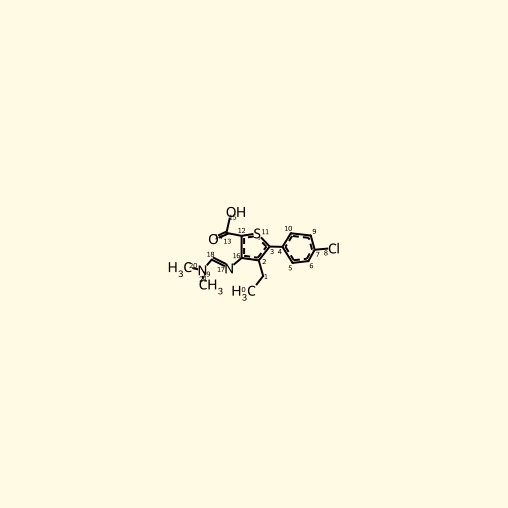 CCc1c(-c2ccc(Cl)cc2)sc(C(=O)O)c1N=CN(C)C